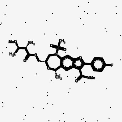 CNC(=O)c1c(-c2ccc(F)cc2)oc2cc3c(cc12)[C@H](C)O[C@H](COC(=O)[C@@H](N)[C@@H](C)OC)CN3S(C)(=O)=O